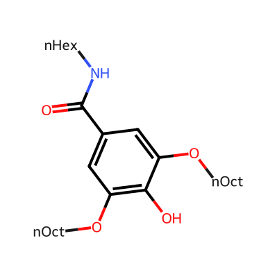 CCCCCCCCOc1cc(C(=O)NCCCCCC)cc(OCCCCCCCC)c1O